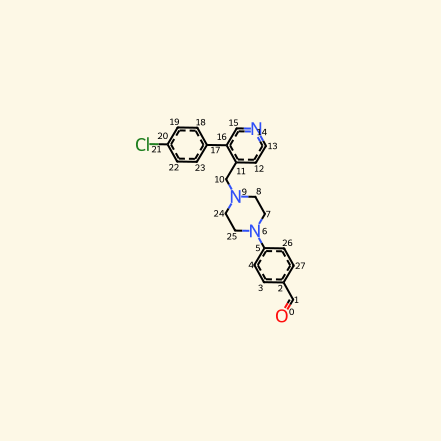 O=Cc1ccc(N2CCN(Cc3ccncc3-c3ccc(Cl)cc3)CC2)cc1